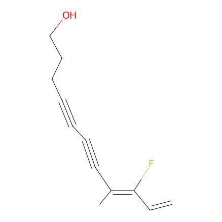 C=C/C(F)=C(\C)C#CC#CCCCO